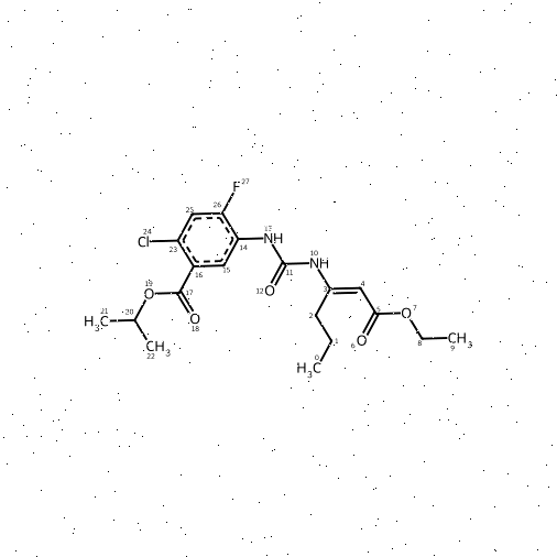 CCC/C(=C\C(=O)OCC)NC(=O)Nc1cc(C(=O)OC(C)C)c(Cl)cc1F